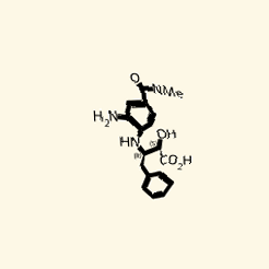 CNC(=O)c1ccc(N[C@H](Cc2ccccc2)[C@H](O)C(=O)O)c(N)c1